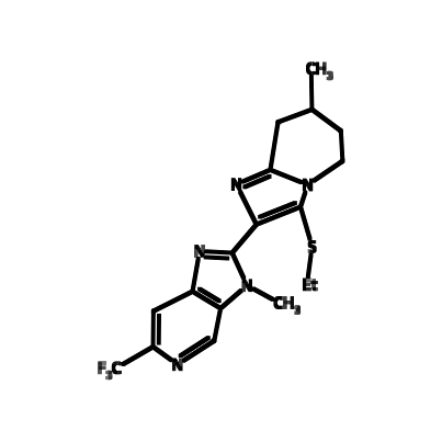 CCSc1c(-c2nc3cc(C(F)(F)F)ncc3n2C)nc2n1CCC(C)C2